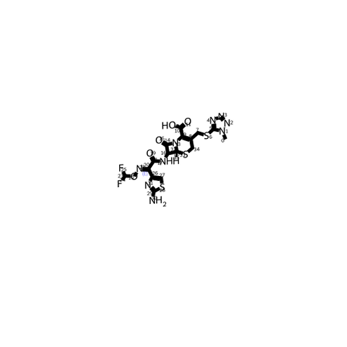 Cn1nnnc1SCC1=C(C(=O)O)N2C(=O)C(NC(=O)/C(=N/OC(F)F)c3csc(N)n3)[C@H]2SC1